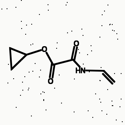 C=CNC(=O)C(=O)OC1CC1